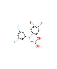 OB(O)CC(c1cc(F)cc(F)c1)c1ccc(F)c(Br)c1